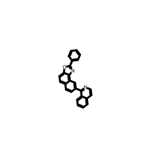 c1ccc(-c2nc3c(ccc4ccc(-c5nccc6ccccc56)cc43)o2)cc1